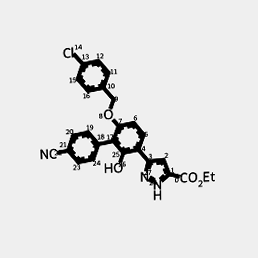 CCOC(=O)c1cc(-c2ccc(OCc3ccc(Cl)cc3)c(-c3ccc(C#N)cc3)c2O)n[nH]1